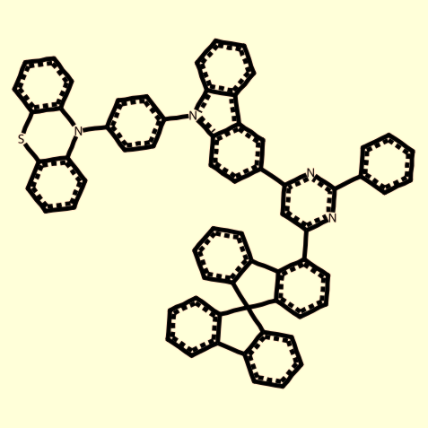 c1ccc(-c2nc(-c3ccc4c(c3)c3ccccc3n4-c3ccc(N4c5ccccc5Sc5ccccc54)cc3)cc(-c3cccc4c3-c3ccccc3C43c4ccccc4-c4ccccc43)n2)cc1